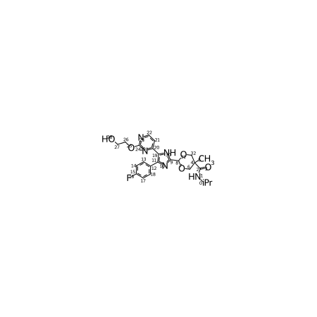 CC(C)NC(=O)C1(C)COC(c2nc(-c3ccc(F)cc3)c(-c3ccnc(OCCO)n3)[nH]2)OC1